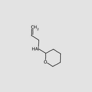 C=C[CH2][AlH][CH]1CCCCO1